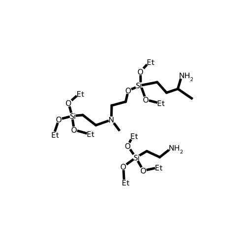 CCO[Si](CCN(C)CCO[Si](CCC(C)N)(OCC)OCC)(OCC)OCC.CCO[Si](CCN)(OCC)OCC